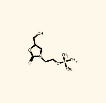 CC(C)(C)[Si](C)(C)OCCN1CC(CO)OC1=O